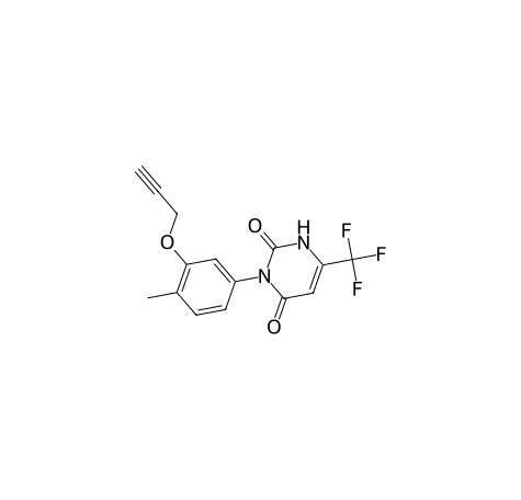 C#CCOc1cc(-n2c(=O)cc(C(F)(F)F)[nH]c2=O)ccc1C